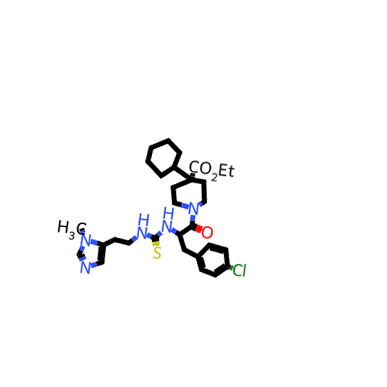 CCOC(=O)C1(C2CCCCC2)CCN(C(=O)C(Cc2ccc(Cl)cc2)NC(=S)NCCc2cncn2C)CC1